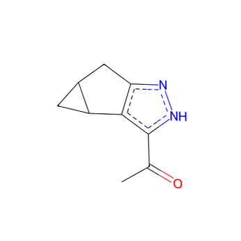 CC(=O)c1[nH]nc2c1C1CC1C2